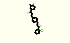 O=C(/C=C/c1ccc(/C=C/C(=O)c2ccccc2Cl)cc1)c1ccc(Cl)c(Cl)c1